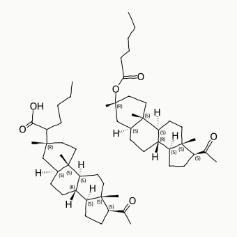 CCCCC(C(=O)O)[C@]1(C)CC[C@@]2(C)[C@@H](CC[C@@H]3[C@@H]2CC[C@]2(C)[C@@H](C(C)=O)CC[C@@H]32)C1.CCCCCC(=O)O[C@]1(C)CC[C@@]2(C)[C@@H](CC[C@@H]3[C@@H]2CC[C@]2(C)[C@@H](C(C)=O)CC[C@@H]32)C1